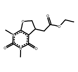 CCOC(=O)CC1COc2c1c(=O)n(C)c(=O)n2C